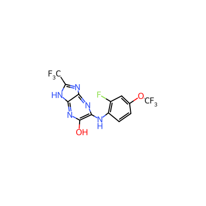 Oc1nc2[nH]c(C(F)(F)F)nc2nc1Nc1ccc(OC(F)(F)F)cc1F